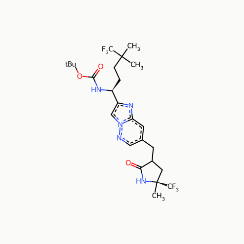 CC(C)(C)OC(=O)N[C@@H](CCC(C)(C)C(F)(F)F)c1cn2ncc(CC3C[C@@](C)(C(F)(F)F)NC3=O)cc2n1